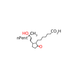 CCCCCC(C)(O)/C=C/C1CCC(=O)C1CCCCCCC(=O)O